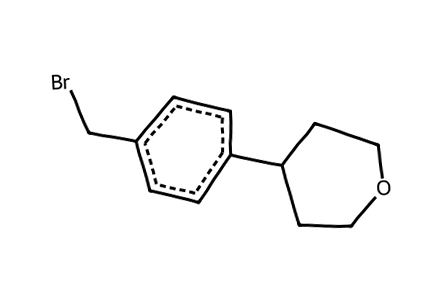 BrCc1ccc(C2CCOCC2)cc1